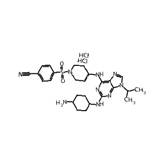 CC(C)n1cnc2c(NC3CCN(S(=O)(=O)c4ccc(C#N)cc4)CC3)nc(NC3CCC(N)CC3)nc21.Cl.Cl